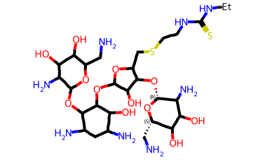 CCNC(=S)NCCSCC1OC(OC2C(O)C(N)CC(N)C2OC2OC(CN)C(O)C(O)C2N)C(O)C1O[C@H]1O[C@@H](CN)C(O)C(O)C1N